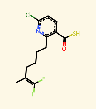 CC(CCCCc1nc(Cl)ccc1C(=O)S)=C(F)F